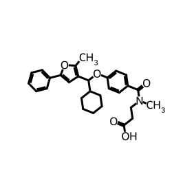 Cc1oc(-c2ccccc2)cc1C(Oc1ccc(C(=O)N(C)CCC(=O)O)cc1)C1CCCCC1